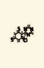 S=C1CC(=S)C(c2ncncn2)=C(Cl)C1